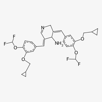 NC1C(=Cc2ccc(OC(F)F)c(OCC3CC3)c2)C=NCC1=Cc1ccc(OC(F)F)c(OCC2CC2)c1